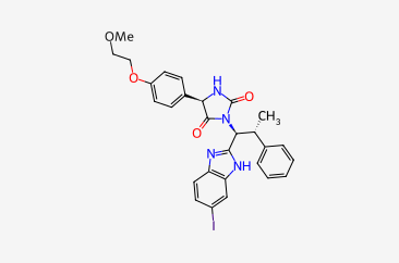 COCCOc1ccc([C@H]2NC(=O)N([C@H](c3nc4ccc(I)cc4[nH]3)[C@H](C)c3ccccc3)C2=O)cc1